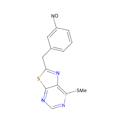 CSc1ncnc2sc(Cc3cccc(N=O)c3)nc12